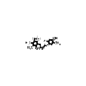 CCN(CCOc1cc(C)c(O)cc1C(C)C)Cc1c(C)c(O)c(C)c(C)c1OC